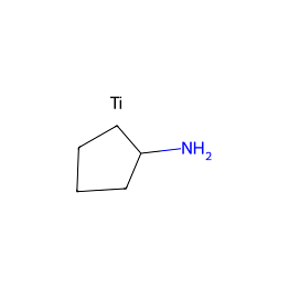 NC1CCCC1.[Ti]